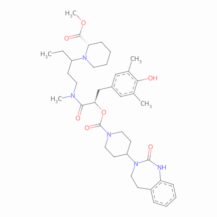 CCC(CCN(C)C(=O)[C@@H](Cc1cc(C)c(O)c(C)c1)OC(=O)N1CCC(N2CCc3ccccc3NC2=O)CC1)N1CCCC[C@H]1C(=O)OC